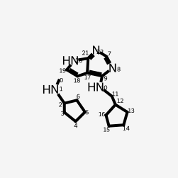 CNC1CCCC1.c1nc(NCC2CCCC2)c2cc[nH]c2n1